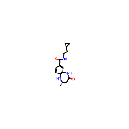 C[C@@H]1CC(=O)Nc2cc(C(=O)NCCC3CC3)ccc2N1